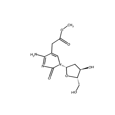 COC(=O)Cc1cn([C@@H]2C[C@@H](O)[C@H](CO)O2)c(=O)nc1N